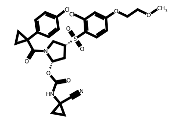 COCCOc1ccc(S(=O)(=O)[C@@H]2C[C@H](OC(=O)NC3(C#N)CC3)N(C(=O)C3(c4ccc(Cl)cc4)CC3)C2)c(Cl)c1